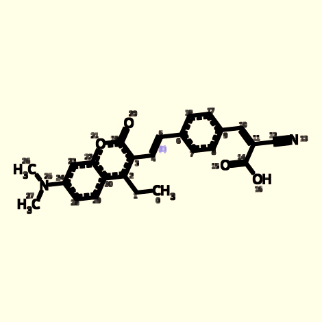 CCc1c(/C=C/c2ccc(C=C(C#N)C(=O)O)cc2)c(=O)oc2cc(N(C)C)ccc12